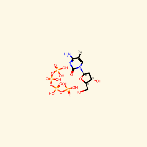 O=P(O)(O)OP(=O)(O)OP(=O)(O)OP(=O)(O)O.[2H]c1cn([C@H]2C[C@H](O)[C@@H](CO)O2)c(=O)nc1N